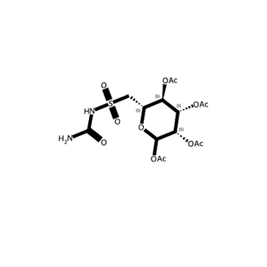 CC(=O)OC1O[C@H](CS(=O)(=O)NC(N)=O)[C@@H](OC(C)=O)[C@H](OC(C)=O)[C@@H]1OC(C)=O